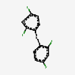 Fc1cc[c]([Ir][c]2ccc(F)cc2F)c(F)c1